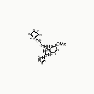 COc1ccc2nc(-n3ccnc3)nc(NCCOc3ccccc3)c2c1